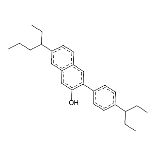 CCCC(CC)c1ccc2cc(-c3ccc(C(CC)CC)cc3)c(O)cc2c1